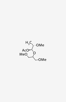 COCC(COC)O[C@@H](OC(C)=O)[C@H](C)OC